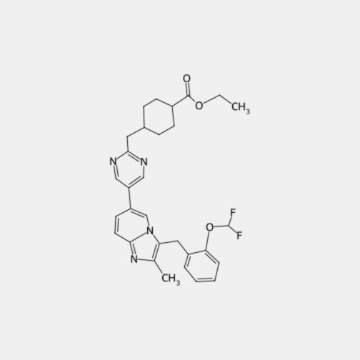 CCOC(=O)C1CCC(Cc2ncc(-c3ccc4nc(C)c(Cc5ccccc5OC(F)F)n4c3)cn2)CC1